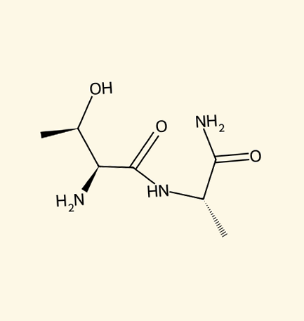 C[C@H](NC(=O)[C@@H](N)[C@@H](C)O)C(N)=O